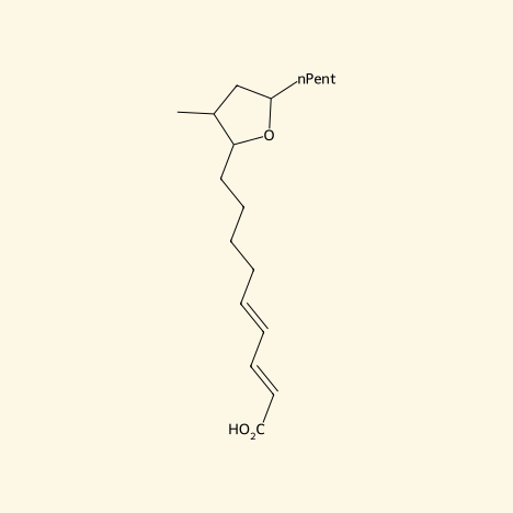 CCCCCC1CC(C)C(CCCCC=CC=CC(=O)O)O1